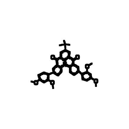 COc1ccc(-c2ccc3c(c2)c(=O)c2cc(C(C)(C)C)cc4c(=O)c5cc(-c6ccc(OC)cc6OC)ccc5n3c24)c(OC)c1